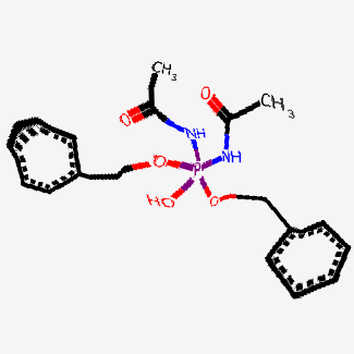 CC(=O)NP(O)(NC(C)=O)(OCc1ccccc1)OCc1ccccc1